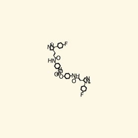 Cn1ncc(/C=C/C(=O)Nc2ccc(O[PH](=O)Oc3ccc(NC(=O)/C=C/c4cnn(C)c4-c4ccc(F)cc4)cc3)cc2)c1-c1ccc(F)cc1